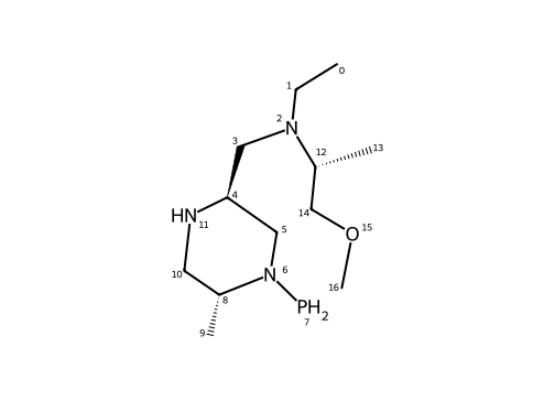 CCN(C[C@H]1CN(P)[C@H](C)CN1)[C@H](C)COC